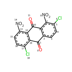 O=C1c2ccc(Cl)c([N+](=O)[O-])c2C(=O)c2c([N+](=O)[O-])ccc(Cl)c21